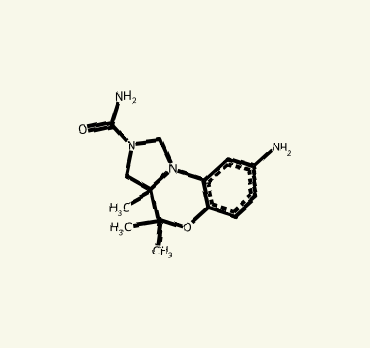 CC1(C)Oc2ccc(N)cc2N2CN(C(N)=O)CC21C